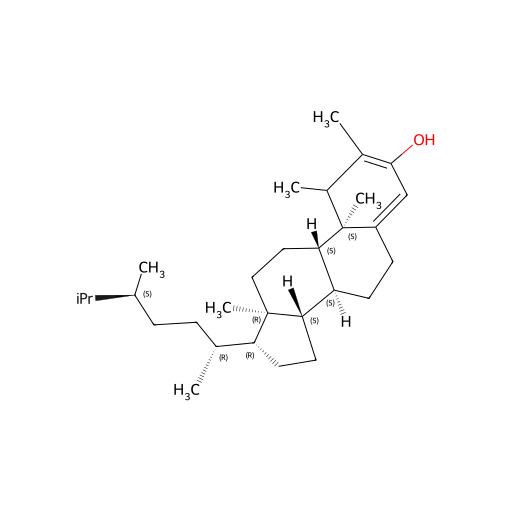 CC1=C(O)C=C2CC[C@H]3[C@@H]4CC[C@H]([C@H](C)CC[C@H](C)C(C)C)[C@@]4(C)CC[C@@H]3[C@@]2(C)C1C